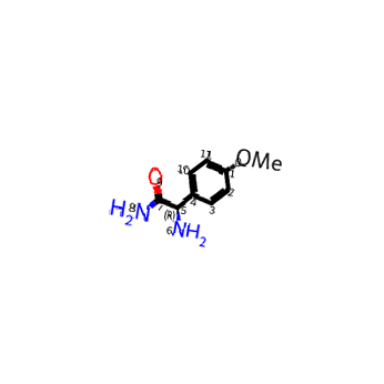 COc1ccc([C@@H](N)C(N)=O)cc1